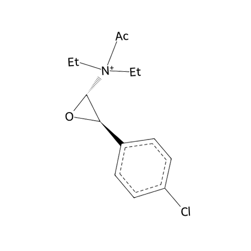 CC[N+](CC)(C(C)=O)[C@H]1O[C@@H]1c1ccc(Cl)cc1